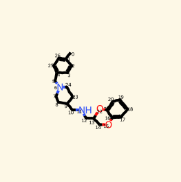 Cc1ccc(CN2CCC(CNCC3COc4ccccc4O3)CC2)cc1